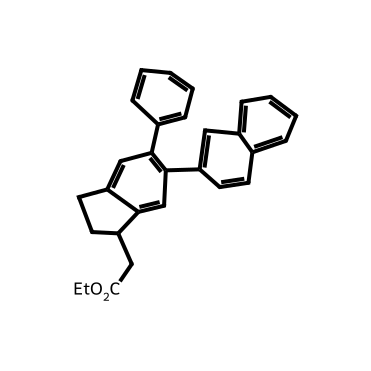 CCOC(=O)CC1CCc2cc(-c3ccccc3)c(-c3ccc4ccccc4c3)cc21